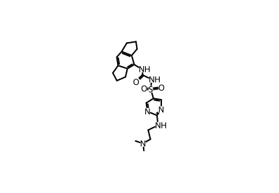 CN(C)CCNc1ncc(S(=O)(=O)NC(=O)Nc2c3c(cc4c2CCC4)CCC3)cn1